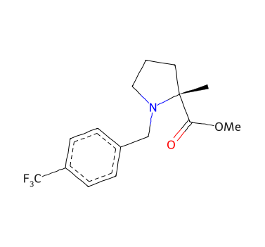 COC(=O)[C@@]1(C)CCCN1Cc1ccc(C(F)(F)F)cc1